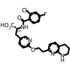 O=C(N[C@@H](Cc1ccc(OCCc2ccc3c(n2)NCCC3)nc1)C(=O)O)c1ccc(F)cc1Cl